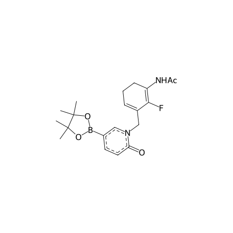 CC(=O)NC1=C(F)C(Cn2cc(B3OC(C)(C)C(C)(C)O3)ccc2=O)=CCC1